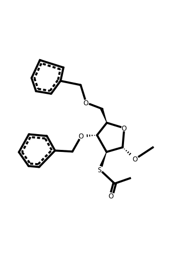 CO[C@H]1O[C@H](COCc2ccccc2)[C@@H](OCc2ccccc2)[C@@H]1SC(C)=O